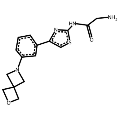 NCC(=O)Nc1nc(-c2cccc(N3CC4(COC4)C3)c2)cs1